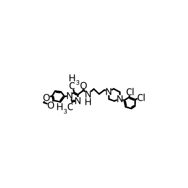 Cc1nc(C(=O)NCCCN2CCN(c3cccc(Cl)c3Cl)CC2)c(C)n1-c1ccc2c(c1)OCO2